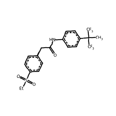 CCS(=O)(=O)c1ccc(CC(=O)Nc2ccc(C(C)(C(F)(F)F)C(F)(F)F)cc2)cc1